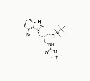 Cc1nc2cccc(Br)c2n1CC(CNC(=O)OC(C)(C)C)CO[Si](C)(C)C(C)(C)C